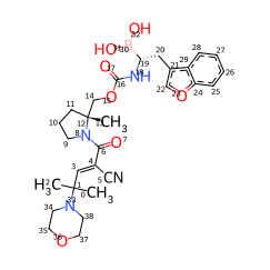 CC(C)(C=C(C#N)C(=O)N1CCC[C@]1(C)COC(=O)N[C@@H](Cc1coc2ccccc12)B(O)O)N1CCOCC1